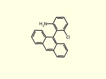 Nc1cccc(Cl)c1-c1c2ccccc2cc2ccccc12